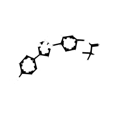 C=C(Nc1ccc(-n2cc(-c3ccc(N)cc3)nn2)cc1)C(F)(F)F